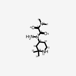 CN(C)C(=O)C(=O)N(N)C1CCNC(C)(C)C1